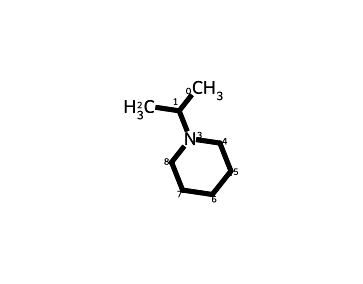 CC(C)N1C[CH]CCC1